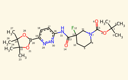 CC(C)(C)OC(=O)N1CCCC(F)(C(=O)Nc2ccc(B3OC(C)(C)C(C)(C)O3)nn2)C1